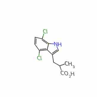 CC(Cc1c[nH]c2c(Cl)ccc(Cl)c12)C(=O)O